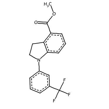 COC(=O)c1cccc2c1CCN2c1cccc(C(F)(F)F)c1